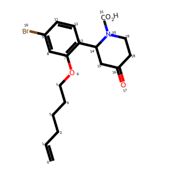 C=CCCCCOc1cc(Br)ccc1C1CC(=O)CCN1C(=O)O